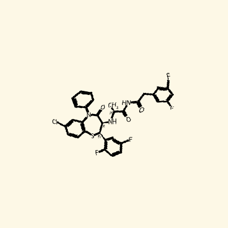 C[C@H](N[C@@H]1C(=O)N(c2ccccc2)c2cc(Cl)ccc2S[C@@H]1c1cc(F)ccc1F)C(=O)NC(=O)Cc1cc(F)cc(F)c1